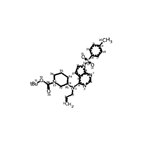 C=CCN(c1ncnc2c1ccn2S(=O)(=O)c1ccc(C)cc1)[C@@H]1CCCN(C(=O)OC(C)(C)C)C1